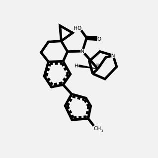 Cc1ccc(-c2ccc3c(c2)C(N(C(=O)O)[C@@H]2CN4CCC2CC4)C2(CC3)CC2)cc1